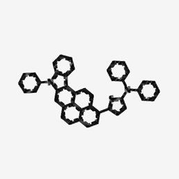 c1ccc(N(c2ccccc2)c2ccc(-c3ccc4ccc5cc6c(c7ccc3c4c57)c3ccccc3n6-c3ccccc3)s2)cc1